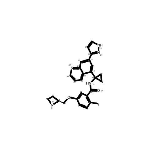 Cc1ccc(OC[C@@H]2CCN2)cc1C(=O)NC1(c2cc(-c3cc[nH]n3)cc3ncccc23)CC1